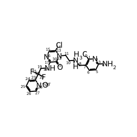 Cc1nc(N)ccc1CNCCn1c(Cl)cnc(NCC(F)(F)c2cccc[n+]2[O-])c1=O